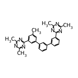 Cc1cc(-c2cccc(-c3cccc(-c4nc(C)nc(C)n4)c3)c2)cc(-c2nc(C)nc(C)n2)c1